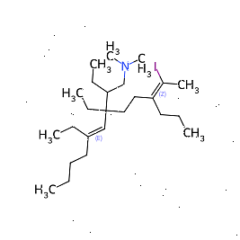 CCCC/C(=C/C(CC)(CC/C(CCC)=C(/C)I)C(CC)CN(C)C)CC